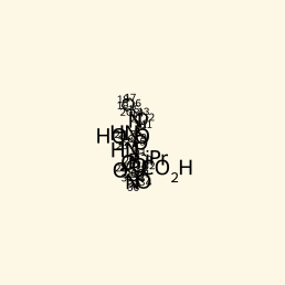 CC(C)C[C@H](NC(=O)[C@@H](NC(=O)c1cccc(-c2ccccc2)n1)[C@@H](C)O)B1OC(=O)C[C@@](CC(=O)O)(C(=O)N(C)C)O1